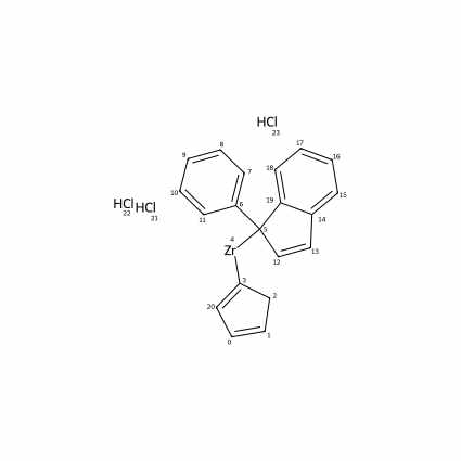 C1=CC[C]([Zr][C]2(c3ccccc3)C=Cc3ccccc32)=C1.Cl.Cl.Cl